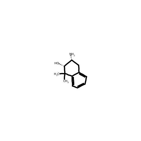 CC1(C)c2ccccc2C[C@@H](N)[C@H]1O